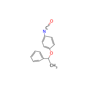 CC(Oc1ccc(N=C=O)cc1)c1ccccc1